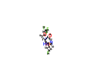 CC(C/C1=C/C(=O)/C=N\[PH](C)(C2CC(F)C2)NC1)OCC(F)(F)F